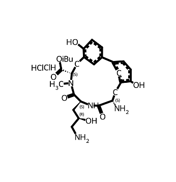 CC(C)COC(=O)[C@@H]1Cc2cc(ccc2O)-c2ccc(O)c(c2)C[C@H](N)C(=O)N[C@@H](C[C@@H](O)CN)C(=O)N1C.Cl.Cl